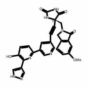 COc1ccc2c(c1)C(=O)N(C[C@@]1(C#Cc3cncc(-c4ccc(O)c(-c5cn[nH]c5)n4)c3)NC(=O)NC1=O)C2